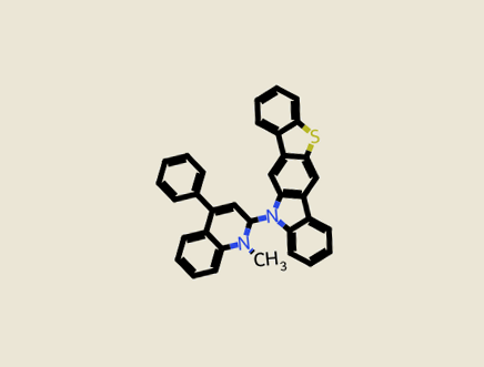 CN1c2ccccc2C(c2ccccc2)=CC1n1c2ccccc2c2cc3sc4ccccc4c3cc21